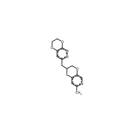 Cc1cc2c(cn1)OCC(Cc1cc3c(nn1)OCCO3)S2